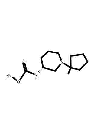 CC(C)(C)OC(=O)N[C@@H]1CCCN(C2(C)CCCC2)C1